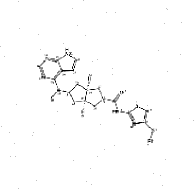 CCSc1nsc(NC(=O)N2C[C@H]3CC(N(C)c4ncnc5[nH]ccc45)C[C@H]3C2)n1